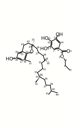 CCCOC(=O)c1cc(O)c(O)c(O)c1.Cc1cc(O)cc2c1O[C@](C)(CCC[C@H](C)CCC[C@H](C)CCCC(C)C)CC2